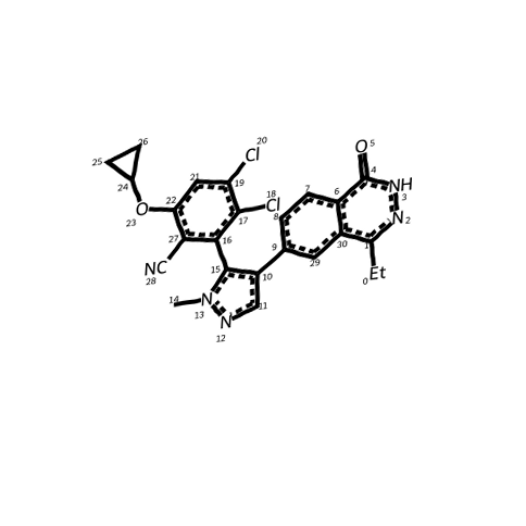 CCc1n[nH]c(=O)c2ccc(-c3cnn(C)c3-c3c(Cl)c(Cl)cc(OC4CC4)c3C#N)cc12